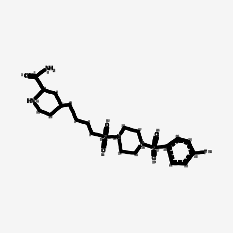 NC(=O)C1CC([CH]CCCS(=O)(=O)N2CCN(S(=O)(=O)c3ccc(F)cc3)CC2)CCN1